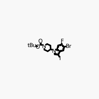 CC(C)(C)OC(=O)N1CCC(n2cc(I)c3cc(Br)c(F)cc32)CC1